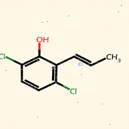 C/C=C/c1c(Cl)ccc(Cl)c1O